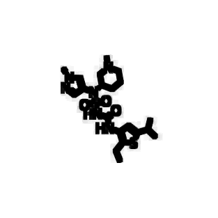 CCc1sc(C(C)C)cc1NC(=O)NS(=O)(=O)N(c1cnn(C)c1)[C@@H]1CCCN(C)C1